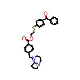 O=C(OCCSc1ccc(C(=O)c2ccccc2)cc1)c1ccc(CN2CCCN3CCCC32)cc1